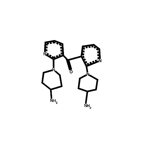 NC1CCN(c2ncccc2C(=O)c2cccnc2N2CCC(N)CC2)CC1